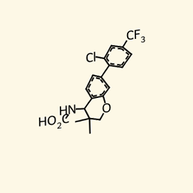 CC1(C)COc2cc(-c3ccc(C(F)(F)F)cc3Cl)ccc2C1NC(=O)O